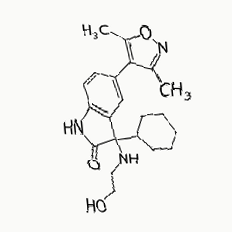 Cc1noc(C)c1-c1ccc2c(c1)C(NCCO)(C1CCCCC1)C(=O)N2